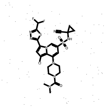 CN(C)C(=O)N1CCN(c2cc(S(=O)(=O)NC3(C#N)CC3)cn3c(-c4nnc(C(F)F)s4)cc(Cl)c23)CC1